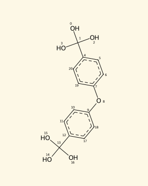 OC(O)(O)c1ccc(Oc2ccc(C(O)(O)O)cc2)cc1